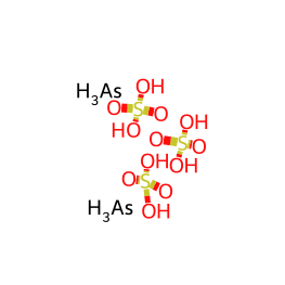 O=S(=O)(O)O.O=S(=O)(O)O.O=S(=O)(O)O.[AsH3].[AsH3]